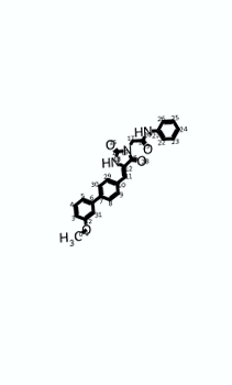 COc1cccc(-c2ccc(/C=C3\NC(=O)N(CC(=O)Nc4ccccc4)C3=O)cc2)c1